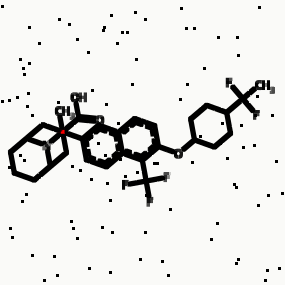 CC(c1ccc2c(C(F)(F)F)c(OC3CCC(C(C)(F)F)CC3)ccc2c1)N1C2CCCC1CC(C(=O)O)C2